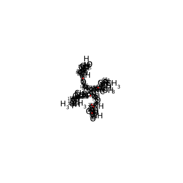 COc1cc2nn([C@@H]3CC[C@@H](CN4CCC(O[C@H]5C[C@H](Nc6cccc7c6C(=O)N(C6CCC(=O)NC6=O)C7=O)C5)CC4)C(C4C[C@@H](n5cc6cc(NC(=O)c7cccc(C)n7)c(C(C)(C)O)cc6n5)CC[C@@H]4CN4CCC(COCCCNc5cccc6c5C(=O)N(C5CCC(=O)NC5=O)C6=O)CC4)C3)cc2cc1NC(=O)c1cccc(C(C)(C)F)n1